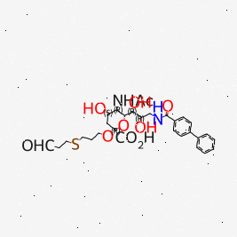 CC(=O)N[C@H]1C([C@H](O)[C@H](O)CNC(=O)c2ccc(-c3ccccc3)cc2)O[C@@](OCCCSCCC=O)(C(=O)O)C[C@@H]1O